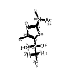 [2H]C([2H])([2H])S(=N)(=O)c1sc(N(C)C(C)=O)nc1C